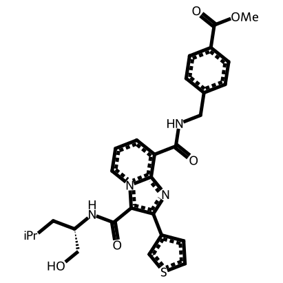 COC(=O)c1ccc(CNC(=O)c2cccn3c(C(=O)N[C@H](CO)CC(C)C)c(-c4ccsc4)nc23)cc1